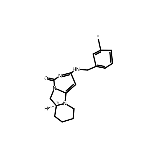 O=c1nc(NCc2cccc(F)c2)cc2n1C[C@@H]1CCCCN21